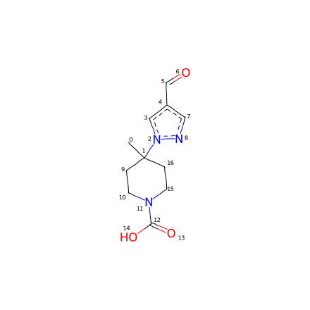 CC1(n2cc(C=O)cn2)CCN(C(=O)O)CC1